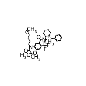 COCCCCN1C(=O)C(C)(C)Oc2cc(C(F)(F)F)c(C(=O)N(C)C3CCCC[C@@H]3Cc3ccccc3)cc21